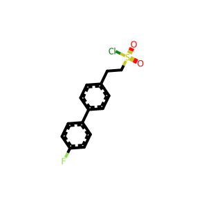 O=S(=O)(Cl)CCc1ccc(-c2ccc(F)cc2)cc1